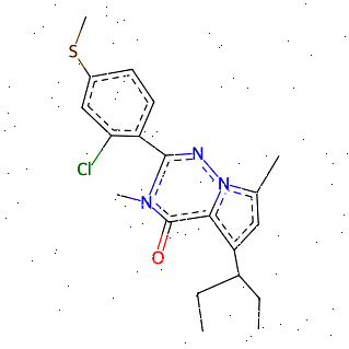 CCC(CC)c1cc(C)n2nc(-c3ccc(SC)cc3Cl)n(C)c(=O)c12